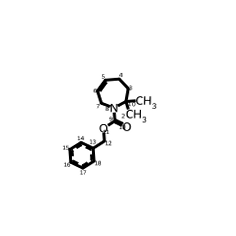 CC1(C)CCC=CCN1C(=O)OCc1ccccc1